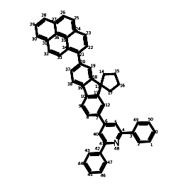 c1ccc(-c2cc(-c3ccc4c(c3)C3(CCCC3)c3cc(-c5ccc6ccc7cccc8ccc5c6c78)ccc3-4)cc(-c3ccccc3)n2)cc1